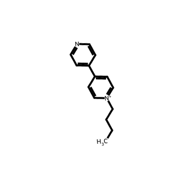 CCCC[n+]1ccc(-c2ccncc2)cc1